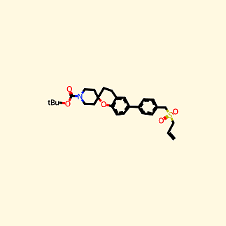 C=CCS(=O)(=O)Cc1ccc(-c2ccc3c(c2)CCC2(CCN(C(=O)OC(C)(C)C)CC2)O3)cc1